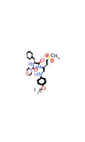 CS(=O)(=O)CC[C@@H](CNc1ccc(OC(F)(F)F)cc1)NC(=O)[C@H](CC1CCCCC1)NC(=O)N1CCOCC1